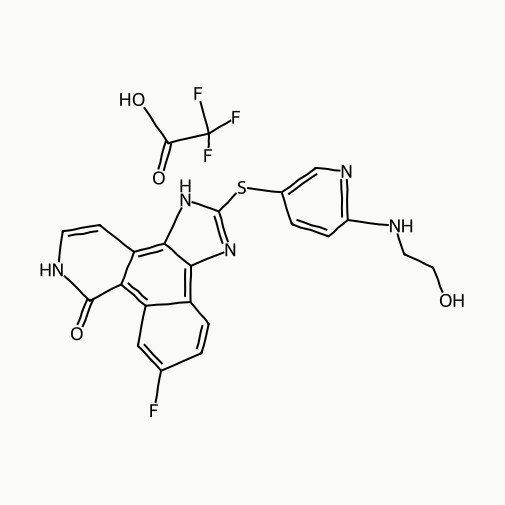 O=C(O)C(F)(F)F.O=c1[nH]ccc2c3[nH]c(Sc4ccc(NCCO)nc4)nc3c3ccc(F)cc3c12